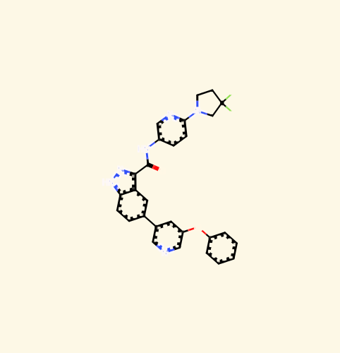 O=C(Nc1ccc(N2CCC(F)(F)C2)nc1)c1n[nH]c2ccc(-c3cncc(Oc4ccccc4)c3)cc12